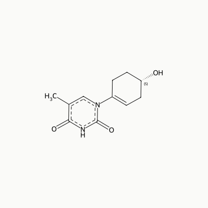 Cc1cn(C2=CC[C@@H](O)CC2)c(=O)[nH]c1=O